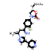 CC(=O)NC[C@H]1CN(c2ccc(C(=N)CC(C)n3cc(-c4ccncc4)cn3)c(F)c2)C(=O)O1